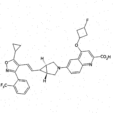 O=C(O)c1cc(OC2CC(F)C2)c2cc(N3C[C@@H]4C(/C=C/c5c(-c6ccccc6C(F)(F)F)noc5C5CC5)[C@H]4C3)ccc2n1